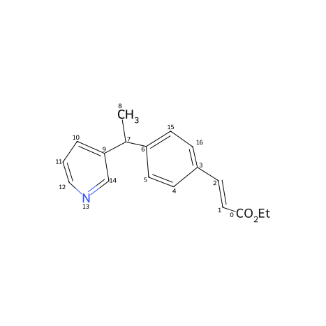 CCOC(=O)/C=C/c1ccc(C(C)c2cccnc2)cc1